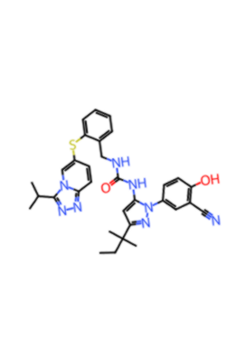 CCC(C)(C)c1cc(NC(=O)NCc2ccccc2Sc2ccc3nnc(C(C)C)n3c2)n(-c2ccc(O)c(C#N)c2)n1